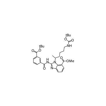 COC(=O)c1cccc2nc(NC(=O)c3cccc(C(=O)OC(C)(C)C)c3)n(C(C)CCCCNC(=O)OC(C)(C)C)c12